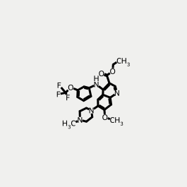 CCOC(=O)c1cnc2cc(OC)c(N3CCN(C)CC3)cc2c1Nc1cccc(OC(F)(F)F)c1